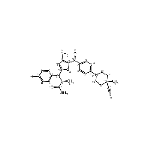 C[C@@H](C(N)=O)N(c1ccc(F)cc1)c1nc(N)c(C(=O)c2ccc(N3CCC(C)(C#N)CC3)nc2)s1